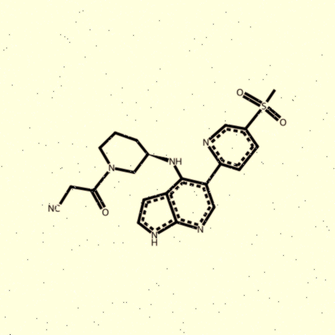 CS(=O)(=O)c1ccc(-c2cnc3[nH]ccc3c2N[C@@H]2CCCN(C(=O)CC#N)C2)nc1